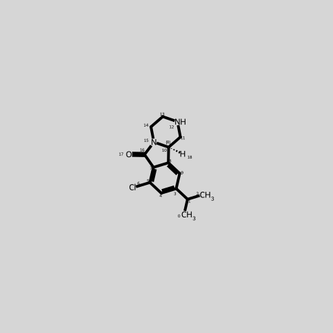 CC(C)c1cc(Cl)c2c(c1)[C@@H]1CNCCN1C2=O